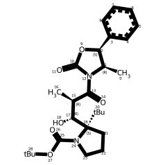 C[C@@H]1[C@H](c2ccccc2)OC(=O)N1C(=O)[C@H](C)[C@@H](O)[C@@]1(C(C)(C)C)CCCN1C(=O)OC(C)(C)C